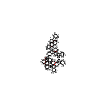 c1cc(-c2ccc3c(c2)sc2ccccc23)cc(N(c2ccc(-c3ccc4cccc(-c5ccccc5N(c5cccc(-c6cccc7sc8ccccc8c67)c5)c5ccccc5-c5ccc6oc7ccccc7c6c5)c4c3)cc2-c2ccc3c(c2)oc2ccccc23)c2ccccc2-c2cccc3ccccc23)c1